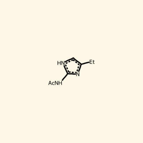 CCc1c[nH]c(NC(C)=O)n1